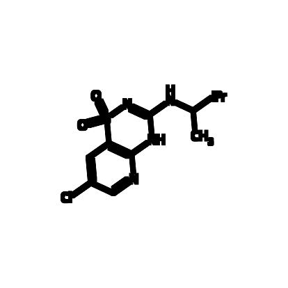 CC(C)C(C)NC1=NS(=O)(=O)c2cc(Cl)cnc2N1